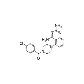 Nc1nc(N)c2c(N3CCN(C(=O)c4ccc(Cl)cc4)CC3)cccc2n1